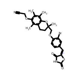 Cc1c(C)c2c(c(C)c1OCC#N)CCC(C)(COc1ccc(/C=C3/SC(=O)NC3=O)cc1Br)O2